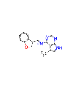 FC(F)(F)c1c[nH]c2ncnc(/N=C/C3COc4ccccc43)c12